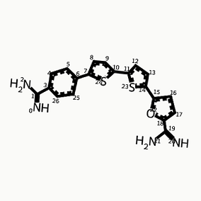 N=C(N)c1ccc(-c2ccc(-c3ccc(-c4ccc(C(=N)N)o4)s3)s2)cc1